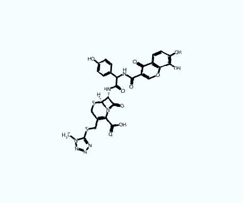 Cn1nnnc1SCC1=C(C(=O)O)N2C(=O)[C@@H](NC(=O)C(NC(=O)c3coc4c(O)c(O)ccc4c3=O)c3ccc(O)cc3)[C@@H]2SC1